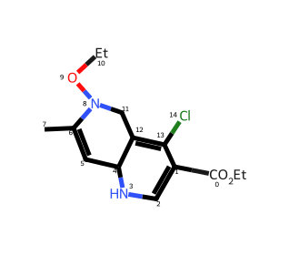 CCOC(=O)C1=CNC2C=C(C)N(OCC)CC2=C1Cl